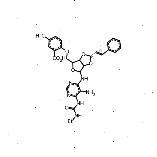 CCNC(=O)Nc1ncnc(NC2OC(COc3ccc(C)cc3C(=O)O)C3O[C@H](/C=C/c4ccccc4)OC23)c1N